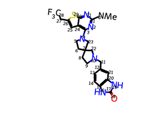 CNc1nc(N2CCC3(CCN(Cc4ccc5[nH]c(=O)[nH]c5c4)C3)C2)c2cc(CC(F)(F)F)sc2n1